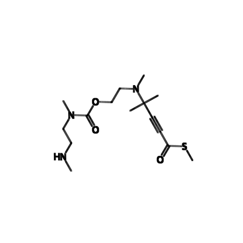 CNCCN(C)C(=O)OCCN(C)C(C)(C)C#CC(=O)SC